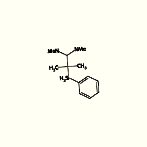 CNC(NC)C(C)(C)[SiH2]c1ccccc1